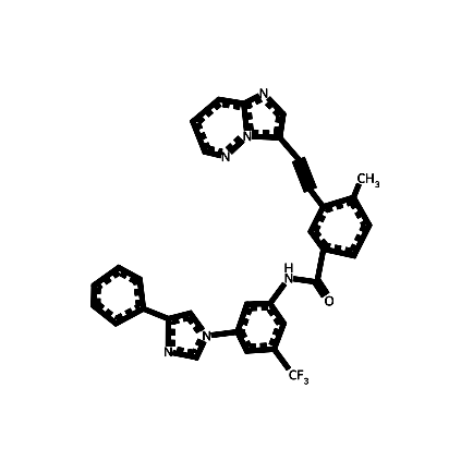 Cc1ccc(C(=O)Nc2cc(-n3cnc(-c4ccccc4)c3)cc(C(F)(F)F)c2)cc1C#Cc1cnc2cccnn12